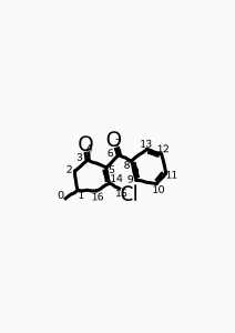 CC1CC(=O)C(C(=O)c2ccccc2)=C(Cl)C1